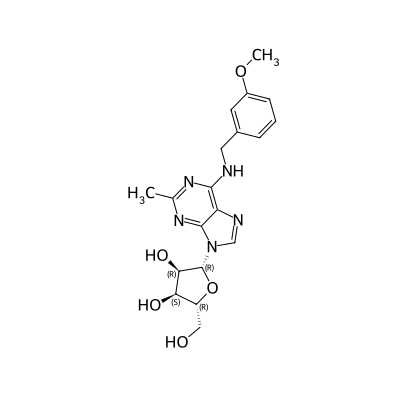 COc1cccc(CNc2nc(C)nc3c2ncn3[C@@H]2O[C@H](CO)[C@@H](O)[C@H]2O)c1